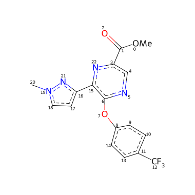 COC(=O)c1cnc(Oc2ccc(C(F)(F)F)cc2)c(-c2ccn(C)n2)n1